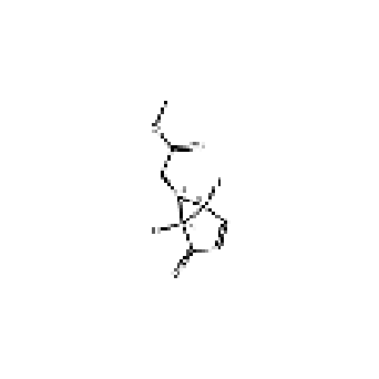 COC(=O)C[C@H]1[C@@H]2C=CC(=O)[C@@H]21